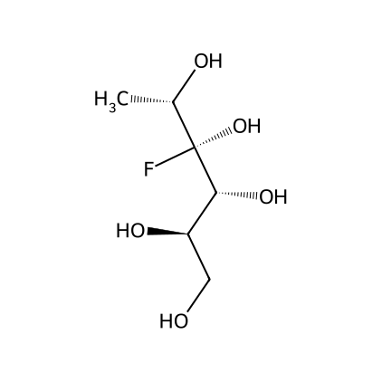 C[C@H](O)[C@](O)(F)[C@H](O)[C@H](O)CO